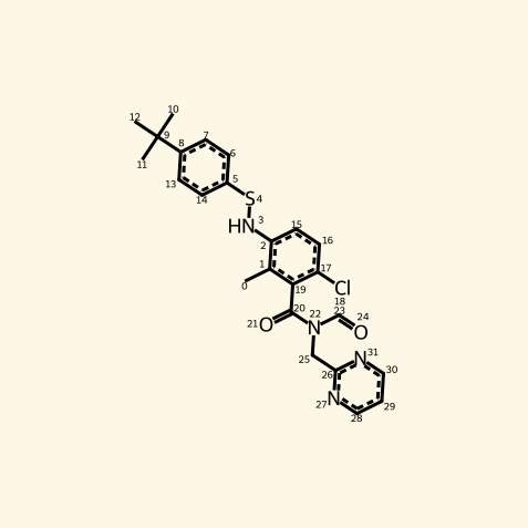 Cc1c(NSc2ccc(C(C)(C)C)cc2)ccc(Cl)c1C(=O)N(C=O)Cc1ncccn1